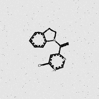 C=C(c1cc(Cl)ncn1)N1CCc2ccccc21